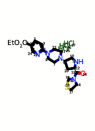 CCOC(=O)c1ccc(N2CCN([C@@H]3CN[C@H](C(=O)N4CCSC4)C3)CC2)nc1.Cl.Cl.Cl